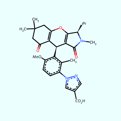 COc1ccc(-n2cc(C(=O)O)cn2)c(C)c1[C@H]1C2=C(CC(C)(C)CC2=O)OC2=C1C(=O)N(C)[C@@H]2C(C)C